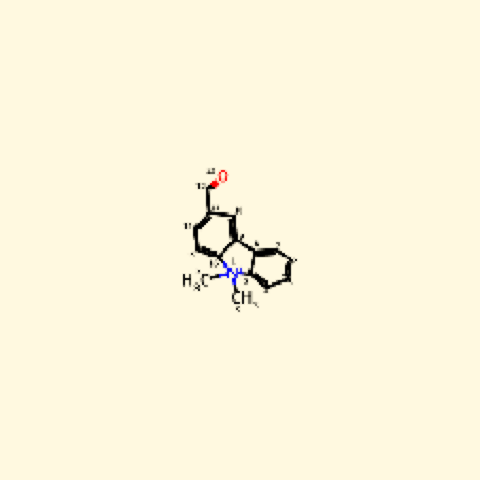 C[N+]1(C)c2ccccc2-c2cc(C=O)ccc21